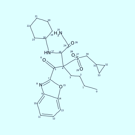 CCCCC(C(=O)c1nc2ccccc2o1)(C(NC1CCCCC1)C(N)=O)S(=O)(=O)CC1CC1